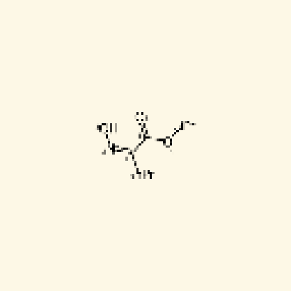 CCCC(=NO)C(=O)OC(C)C